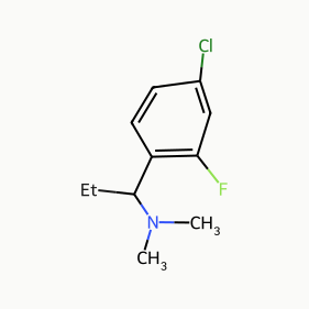 [CH2]CC(c1ccc(Cl)cc1F)N(C)C